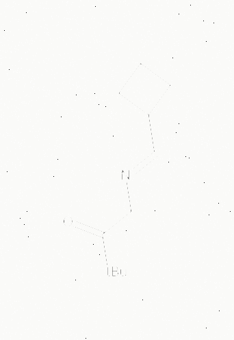 CC(C)(C)C(=O)C/N=C/C1CCC1